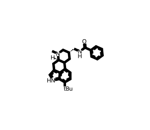 CN1C[C@H](CNC(=O)c2ccccc2)CC2c3ccc(C(C)(C)C)c4[nH]cc(c34)C[C@H]21